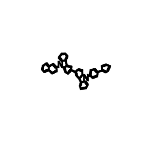 C1=CC2C(C=C1c1ccc3c(c1)c1ccccc1n3-c1ccc3ccccc3c1)c1ccccc1N2c1ccc(-c2ccccc2)cc1